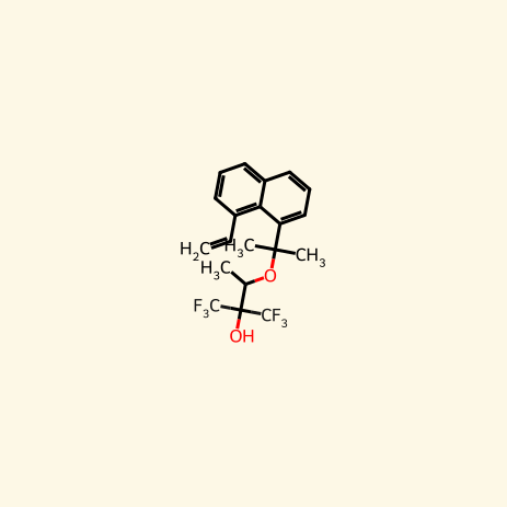 C=Cc1cccc2cccc(C(C)(C)OC(C)C(O)(C(F)(F)F)C(F)(F)F)c12